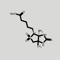 COC(=O)CCCC[C@H]1[C@@]2(N)NC(=S)NC2(C)CS1(=O)=O